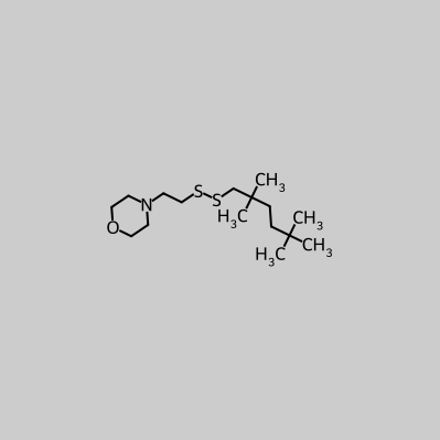 CC(C)(C)CCC(C)(C)CSSCCN1CCOCC1